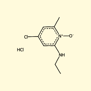 CCNc1cc(Cl)cc(C)[n+]1[O-].Cl